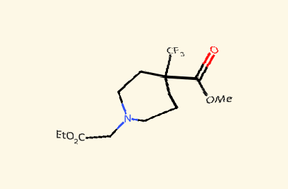 CCOC(=O)CN1CCC(C(=O)OC)(C(F)(F)F)CC1